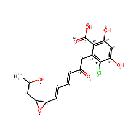 CC(O)CC1OC1C=CC=CC(=O)Cc1c(Cl)c(O)cc(O)c1C(=O)O